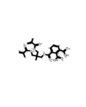 C=C(C)C(=O)OCC(C)(COC(=O)C(=C)C)COC(=O)c1cccc(C(=O)O)c1C(=O)O